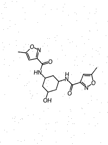 Cc1cc(C(=O)NC2CC(O)CC(NC(=O)c3cc(C)on3)C2)no1